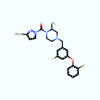 CC1CN(Cc2cc(F)cc(Oc3ccccc3Cl)c2)CCN1C(=O)n1ccc(C(=O)O)n1